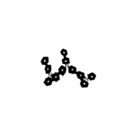 c1ccc(-c2ccc(N(c3ccc(-c4ccc5c(c4)c4ccccc4n5-c4ccccc4)cc3)c3ccc(-c4ccc5c6ccccc6n(-c6ccc(-c7ccccc7)cc6)c5c4)cc3)cc2)cc1